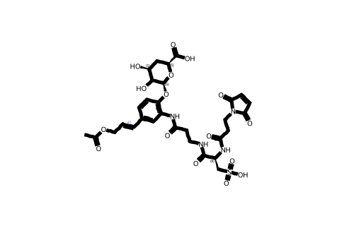 CC(=O)OC/C=C/c1ccc(O[C@@H]2O[C@H](C(=O)O)C[C@H](O)C2O)c(NC(=O)CCNC(=O)[C@H](CS(=O)(=O)O)NC(=O)CCN2C(=O)C=CC2=O)c1